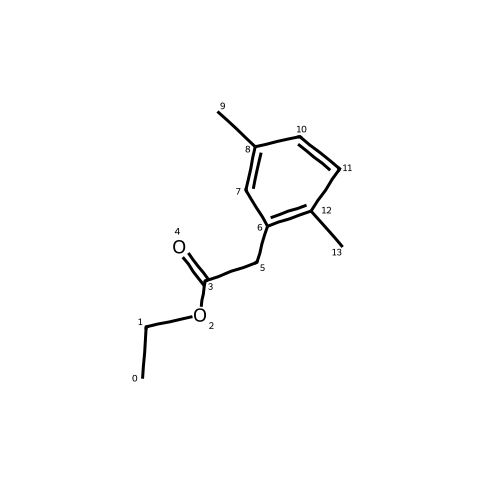 CCOC(=O)Cc1cc(C)ccc1C